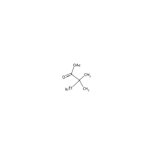 CCC(C)(C)C(=O)OC(C)=O.[In]